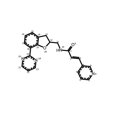 O=C(C=Cc1cccnc1)NCC1Cc2cccc(-c3ncccn3)c2O1